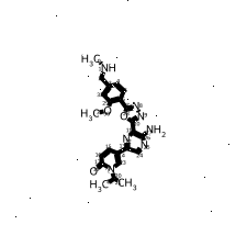 CNCc1ccc(-c2nnc(-c3nc(-c4ccc(=O)n(C(C)C)c4)cnc3N)o2)c(OC)c1